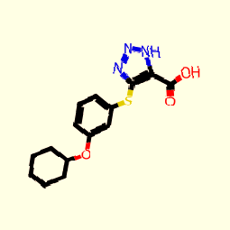 O=C(O)c1[nH]nnc1Sc1cccc(OC2CCCCC2)c1